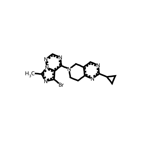 Cc1nc(Br)c2c(N3CCc4nc(C5CC5)ncc4C3)ncnn12